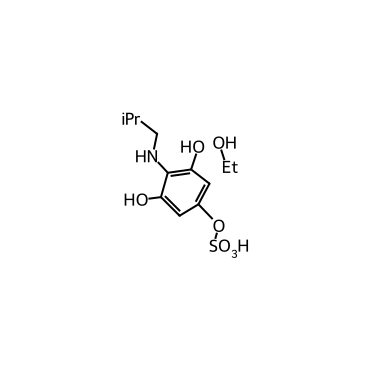 CC(C)CNc1c(O)cc(OS(=O)(=O)O)cc1O.CCO